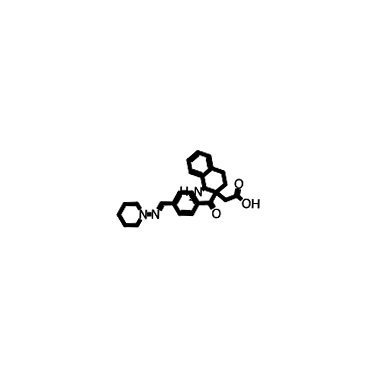 NC1c2ccccc2CCC1(CC(=O)O)C(=O)c1ccc(C=NN2CCCCC2)cc1